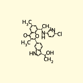 C=C(O)c1c[nH]c2cc(-c3oc4c([C@@H](C)Nc5ccc(Cl)nc5)cc(C)cc4c(=O)c3C)ccc12